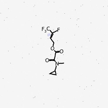 CN(C(=O)C(=O)OC/C=C(\F)C(F)(F)F)C1CC1